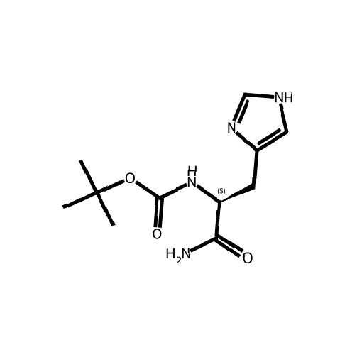 CC(C)(C)OC(=O)N[C@@H](Cc1c[nH]cn1)C(N)=O